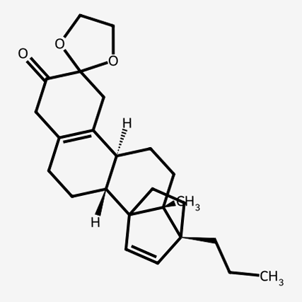 CCC[C@]12C=CC3(CC1)[C@@H]1CCC4=C(CC5(OCCO5)C(=O)C4)[C@H]1CC[C@@]32C